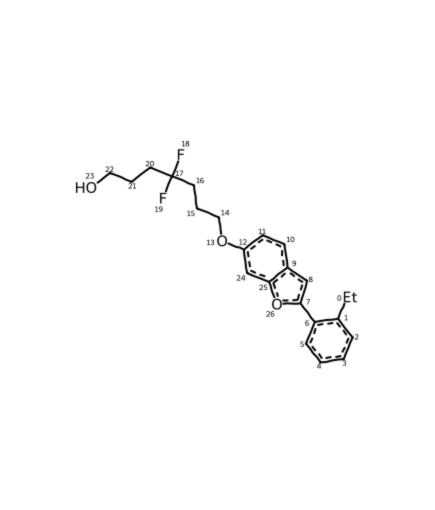 CCc1ccccc1-c1cc2ccc(OCCCC(F)(F)CCCO)cc2o1